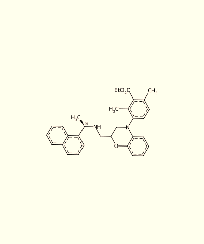 CCOC(=O)c1c(C)ccc(N2CC(CN[C@H](C)c3cccc4ccccc34)Oc3ccccc32)c1C